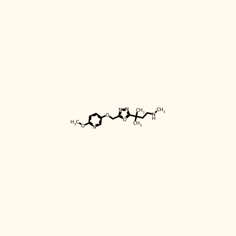 CNCCC(C)(C)c1nnc(COc2ccc(OC)nc2)o1